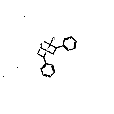 CC1(Cl)C(c2ccccc2)C[N+]12NCC2c1ccccc1